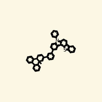 CC12C=C(c3cccc(-c4ccc5c(c4)c4c6sc7ccccc7c6ccc4n5-c4ccccc4)c3)C=CC1c1ccccc1-c1ccccc12